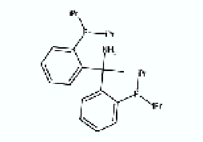 CC(C)P(c1ccccc1C(C)(N)c1ccccc1P(C(C)C)C(C)C)C(C)C